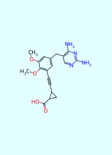 COc1cc(Cc2cnc(N)nc2N)cc(C#CC2CC2C(=O)O)c1OC